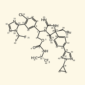 C[C@H](NC(=O)OCC(c1ccc(Cl)c(-c2ncnn2C(F)F)c1)N1C(=N)N[C@](CC(C)(C)C)(c2ccc(-c3cnn(C4CC4)n3)cc2)C1=O)C(F)(F)F